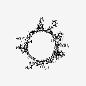 CCCC[C@H]1C(=O)N(C)[C@@H](CCCC)C(=O)N[C@@H](CCC(=O)O)C(=O)N[C@H](C(=O)NCC(N)=O)CSCC(=O)N[C@@H](Cc2ccc(O)cc2)C(=O)N(C)[C@@H](C)C(=O)N[C@@H](CCC(=O)O)C(=O)N2CCC[C@H]2C(=O)N[C@@H](Cc2c[nH]cn2)C(=O)N[C@@H](CCCCN)C(=O)N2C[C@H](OCc3ccccc3)C[C@H]2C(=O)N[C@@H](Cc2c[nH]c3ccccc23)C(=O)N[C@@H](CCCCN)C(=O)N[C@@H](Cc2c[nH]c3ccccc23)C(=O)N1C